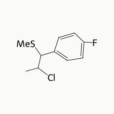 CSC(c1ccc(F)cc1)C(C)Cl